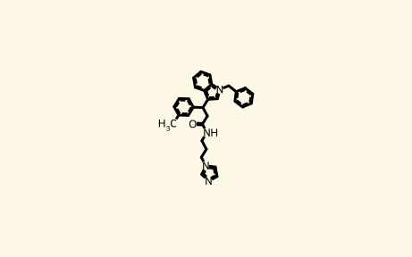 Cc1cccc(C(CC(=O)NCCCn2ccnc2)c2cn(Cc3ccccc3)c3ccccc23)c1